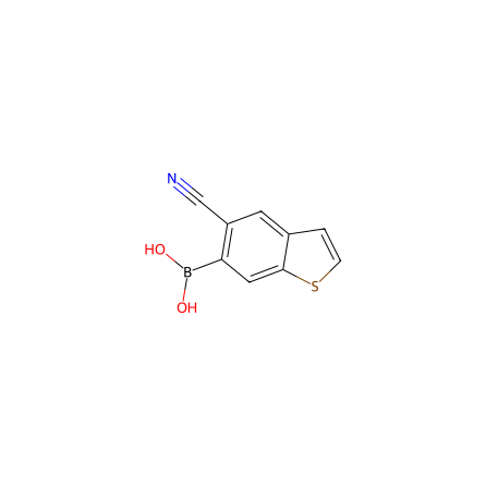 N#Cc1cc2ccsc2cc1B(O)O